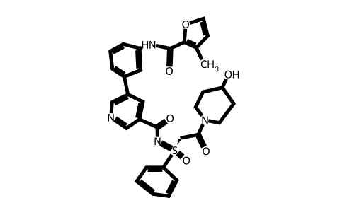 Cc1ccoc1C(=O)Nc1cccc(-c2cncc(C(=O)N=[S@](=O)(CC(=O)N3CCC(O)CC3)c3ccccc3)c2)c1